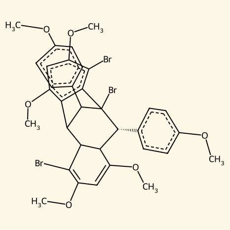 COC1=CC(OC)=C(Br)C2C3c4c(OC)cc(OC)c(Br)c4C(Br)(C3c3ccc(OC)cc3)[C@H](c3ccc(OC)cc3)C12